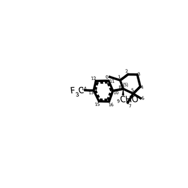 CC1CCCC(C)(C)[C@]1(C=O)c1ccc(C(F)(F)F)cc1